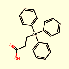 O=C(O)C[CH2][Sn]([c]1ccccc1)([c]1ccccc1)[c]1ccccc1